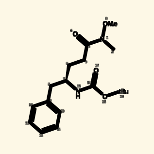 CON(C)C(=O)CC[C@H](Cc1ccccc1)NC(=O)OC(C)(C)C